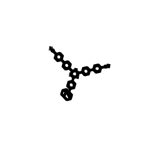 N#Cc1ccc(-c2ccc(-c3nc(-c4ccc(-c5ccc(C#N)cc5)cc4)nc(-c4ccc(C56CC7CC(CC(C7)C5)C6)cc4)n3)cc2)cc1